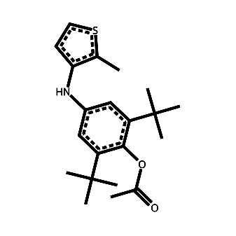 CC(=O)Oc1c(C(C)(C)C)cc(Nc2ccsc2C)cc1C(C)(C)C